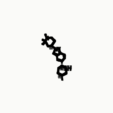 C[C@H]1CC[C@H](c2ccc3nn([C@@H]4CCN(C)C(C)(C)C4)cc3c2)NC1